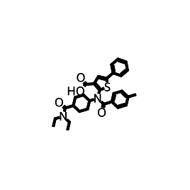 CCN(CC)C(=O)C1CCC(N(C(=O)c2ccc(C)cc2)c2sc(-c3ccccc3)cc2C(=O)O)CC1